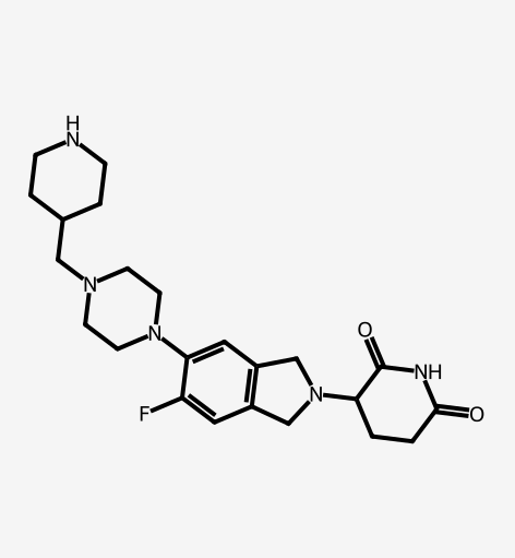 O=C1CCC(N2Cc3cc(F)c(N4CCN(CC5CCNCC5)CC4)cc3C2)C(=O)N1